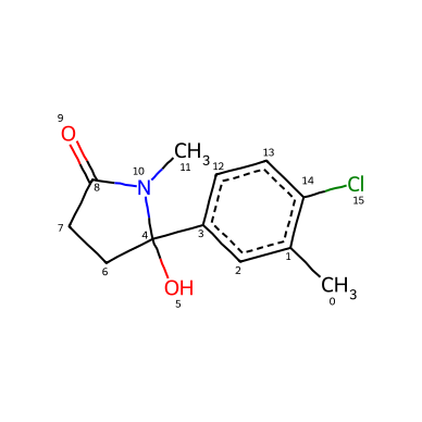 Cc1cc(C2(O)CCC(=O)N2C)ccc1Cl